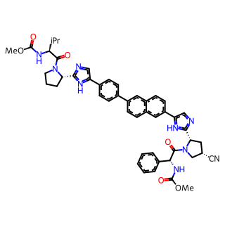 COC(=O)N[C@H](C(=O)N1CCC[C@H]1c1ncc(-c2ccc(-c3ccc4cc(-c5cnc([C@@H]6C[C@H](C#N)CN6C(=O)[C@H](NC(=O)OC)c6ccccc6)[nH]5)ccc4c3)cc2)[nH]1)C(C)C